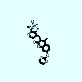 Cc1c(Cc2ccnc(N(C)[SH](=O)=O)c2F)c(=O)oc2cc(Oc3ncccn3)ccc12